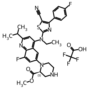 CCN(c1nc(-c2ccc(F)cc2)c(C#N)s1)c1cc(C(C)C)nc2c(F)cc(N3CCNC[C@H]3C(=O)OC)cc12.O=C(O)C(F)(F)F